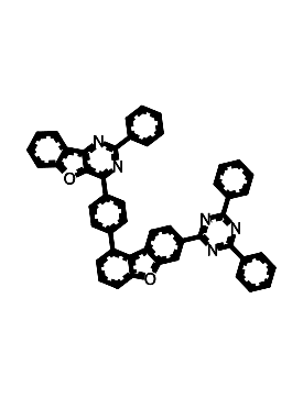 c1ccc(-c2nc(-c3ccccc3)nc(-c3ccc4c(c3)oc3cccc(-c5ccc(-c6nc(-c7ccccc7)nc7c6oc6ccccc67)cc5)c34)n2)cc1